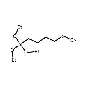 CCO[Si](CCCCSC#N)(OCC)OCC